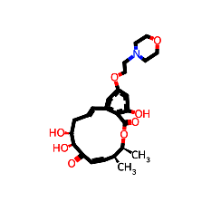 C[C@@H]1OC(=O)c2c(O)cc(OCCN3CCOCC3)cc2/C=C/C[C@H](O)[C@H](O)C(=O)/C=C\[C@@H]1C